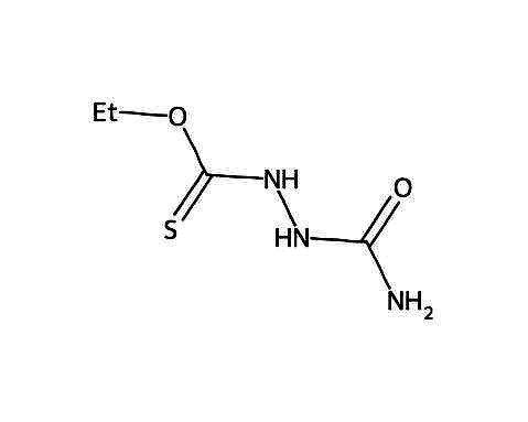 CCOC(=S)NNC(N)=O